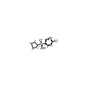 N=S(=O)(c1ccc(Cl)nc1)C1CCCC1